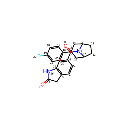 O=C1Cc2ccc(C(=O)N3C4CCC3CC(c3ccc(F)cc3)C4)cc2N1